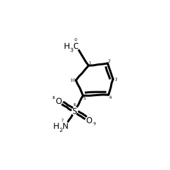 CC1C=CC=C(S(N)(=O)=O)C1